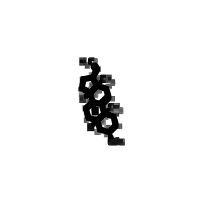 C=CC1CC[C@H]2[C@@H]3CC[C@@H]4C[C@H](OC(C)=O)CC[C@]4(C)C3=CC[C@]12C